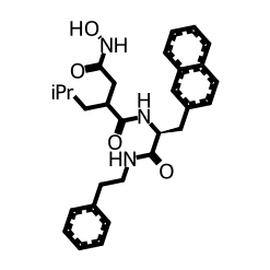 CC(C)CC(CC(=O)NO)C(=O)N[C@@H](Cc1ccc2ccccc2c1)C(=O)NCCc1ccccc1